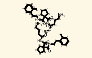 Cc1ccccc1CCNC(=O)C1(C(=O)NC(CCCN)OBOC(CCCN)NC(=O)C2(C(=O)NCCc3ccccc3C)CCCC2)CCCC1